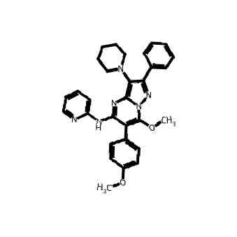 COc1ccc(-c2c(Nc3ccccn3)nc3c(N4CCCCC4)c(-c4ccccc4)nn3c2OC)cc1